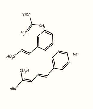 C=C(C)C(=O)[O-].CCCCC(=CC=Cc1ccccc1)C(=O)O.O=S(=O)(O)C=Cc1ccccc1.[Na+]